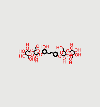 OCC1OC(OC2C(CO)OC(Oc3ccc(/C=C/c4cc(O)cc(OC5OC(CO)C(OC6OC(CO)C(O)C(O)C6O)C(O)C5O)c4)cc3)C(O)C2O)C(O)C(O)C1O